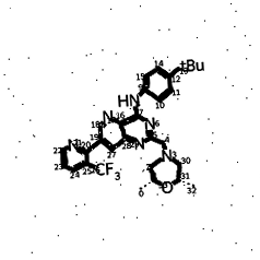 C[C@@H]1CN(Cc2nc(Nc3ccc(C(C)(C)C)cc3)c3ncc(-c4ncccc4C(F)(F)F)cc3n2)C[C@H](C)O1